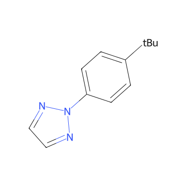 CC(C)(C)c1ccc(-n2nccn2)cc1